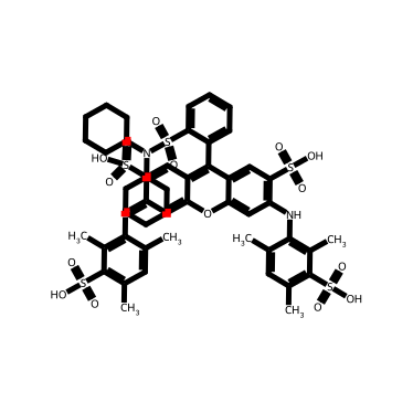 Cc1cc(C)c(S(=O)(=O)O)c(C)c1/N=c1\cc2oc3cc(Nc4c(C)cc(C)c(S(=O)(=O)O)c4C)c(S(=O)(=O)O)cc3c(-c3ccccc3S(=O)(=O)N(C3CCCCC3)C3CCCCC3)c-2cc1S(=O)(=O)O